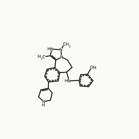 CC1=C2c3ccc(C4=CCNCC4)cc3C(Nc3cccc(O)c3)CCN2N(C)N1